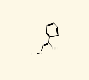 CN/C=C(\N)c1ccccc1